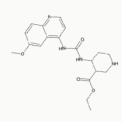 CCOC(=O)C1CNCCC1NC(=O)Nc1ccnc2ccc(OC)cc12